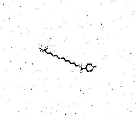 COC(=O)CCCCCCCCCCCOC(=O)C1CCN(C)CC1